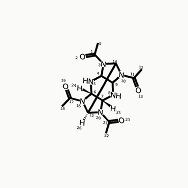 CC(=O)N1C2N[C@@H]3[C@@H]4NC2N(C(C)=O)C1[C@H](N3C(C)=O)N4C(C)=O